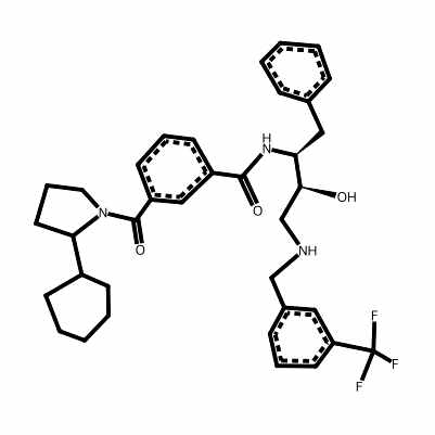 O=C(N[C@@H](Cc1ccccc1)[C@@H](O)CNCc1cccc(C(F)(F)F)c1)c1cccc(C(=O)N2CCCC2C2CCCCC2)c1